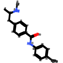 CCNC(C)Cc1ccc(C(=O)Nc2ccc(OC)cc2)cc1